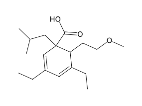 CCC1=CC(CC(C)C)(C(=O)O)C(CCOC)C(CC)=C1